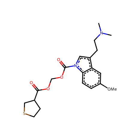 COc1ccc2c(c1)c(CCN(C)C)cn2C(=O)OCOC(=O)C1CCSC1